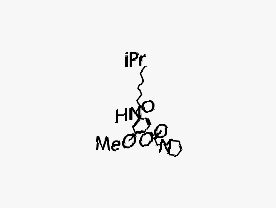 COc1cc(NC(=O)CCCCCCC(C)C)ccc1OC(=O)CN1CCCCC1